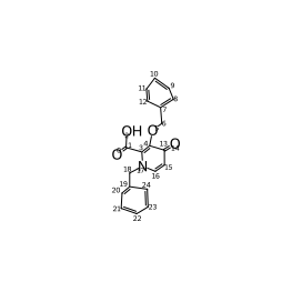 O=C(O)c1c(OCc2ccccc2)c(=O)ccn1Cc1ccccc1